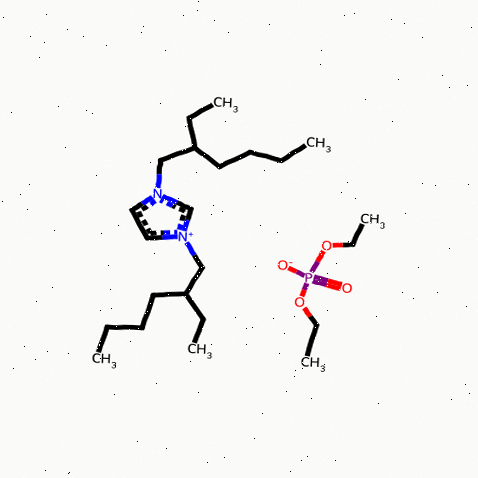 CCCCC(CC)Cn1cc[n+](CC(CC)CCCC)c1.CCOP(=O)([O-])OCC